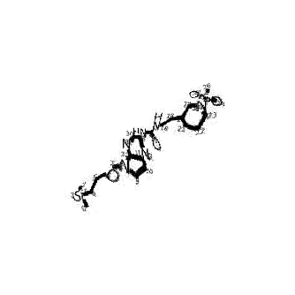 C[Si](C)(C)CCOCn1ccc2nc(NC(=O)NCCC3CCCN(S(C)(=O)=O)C3)cnc21